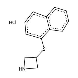 Cl.c1ccc2c(SC3CNC3)cccc2c1